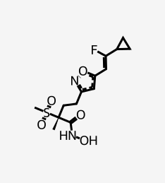 C[C@@](CCc1cc(/C=C(\F)C2CC2)on1)(C(=O)NO)S(C)(=O)=O